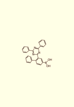 OB(O)c1ccc(-c2ccccc2)c(-c2nc(-c3ccccc3)nc(-c3ccccc3)n2)c1